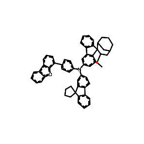 CCC1CC2CCCC(C2)C12c1ccccc1-c1cc(N(c3ccc(-c4cccc5c4oc4ccccc45)cc3)c3ccc4c(c3)C3(CCCC3)c3ccccc3-4)ccc12